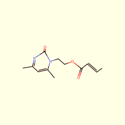 C/C=C/C(=O)OCCn1c(C)cc(C)nc1=O